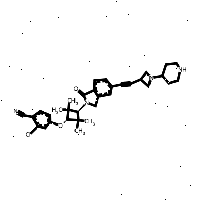 CC1(C)[C@H](Oc2ccc(C#N)c(Cl)c2)C(C)(C)[C@H]1N1Cc2cc(C#CC3CN(C4CCNCC4)C3)ccc2C1=O